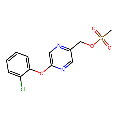 CS(=O)(=O)OCc1cnc(Oc2ccccc2Cl)cn1